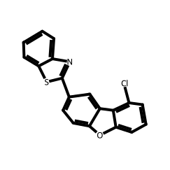 Clc1cccc2oc3ccc(-c4nc5ccccc5s4)cc3c12